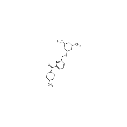 CC1CCN(C(=O)c2cccc(CSC3CC(C)CC(C)C3)n2)CC1